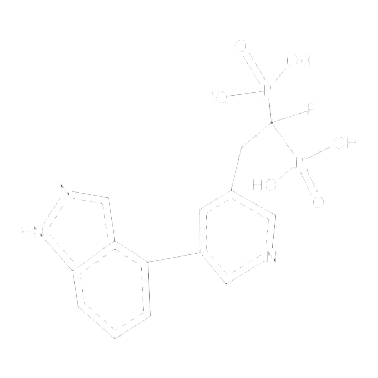 O=P(O)(O)C(F)(Cc1cncc(-c2cccc3[nH]ncc23)c1)P(=O)(O)O